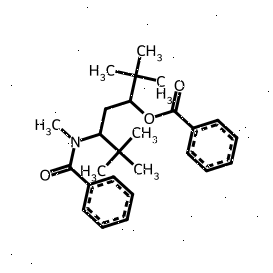 CN(C(=O)c1ccccc1)C(CC(OC(=O)c1ccccc1)C(C)(C)C)C(C)(C)C